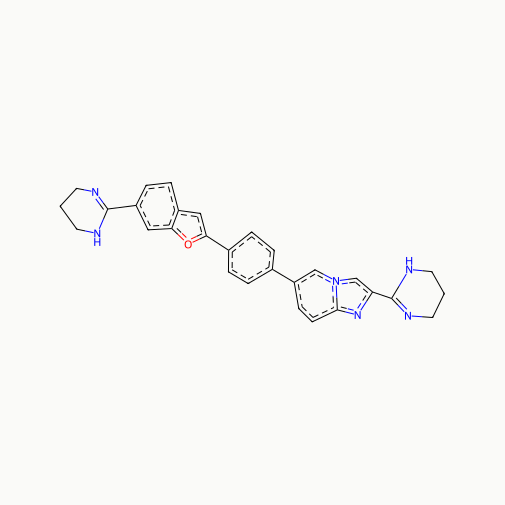 c1cc2cc(-c3ccc(-c4ccc5nc(C6=NCCCN6)cn5c4)cc3)oc2cc1C1=NCCCN1